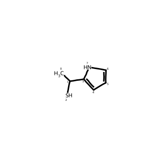 CC(S)c1ccc[nH]1